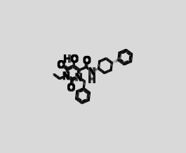 CCn1c(=O)c(O)c(C(=O)N[C@H]2CC[C@@H](c3ccccc3)CC2)n(Cc2ccccc2)c1=O